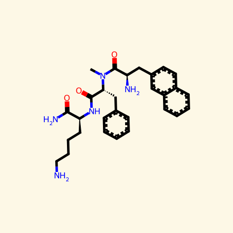 CN(C(=O)[C@H](N)Cc1ccc2ccccc2c1)[C@H](Cc1ccccc1)C(=O)N[C@@H](CCCCN)C(N)=O